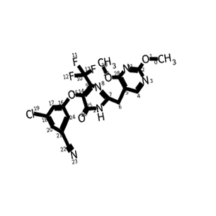 COc1ncc(Cc2nc(C(F)(F)F)c(Oc3cc(Cl)cc(C#N)c3)c(=O)[nH]2)c(OC)n1